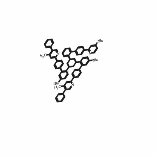 Cc1cc(-c2ccc(-c3cc(C(C)(C)C)ccc3C3CC(c4ccccc4-c4ccc(-c5cc(C(C)(C)C)ccn5)cc4)CC(c4ccc(C(C)(C)C)cc4-c4ccc(-c5cc(C)c(-c6ccccc6)cn5)cc4)C3)cc2)ncc1-c1ccccc1